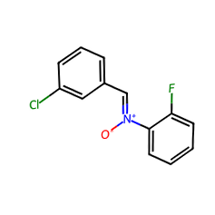 [O-][N+](=Cc1cccc(Cl)c1)c1ccccc1F